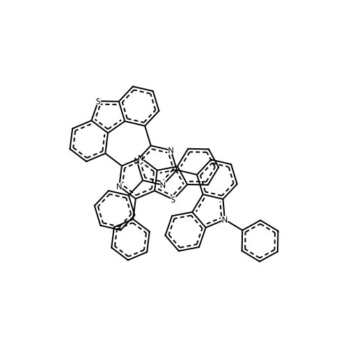 c1ccc(-c2nc(-c3cccc4sc5cccc(-c6nc(-c7ccccc7)c7sc8ccccc8c7n6)c5c34)nc(-c3cccc4c3c3ccccc3n4-c3ccccc3)n2)cc1